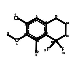 COc1c(Cl)cc2c(c1Br)C(F)(F)CCC2